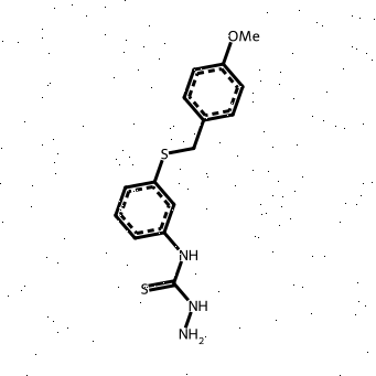 COc1ccc(CSc2cccc(NC(=S)NN)c2)cc1